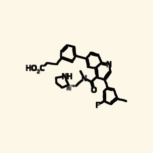 Cc1cc(F)cc(-c2cnc3ccc(-c4cccc(CCC(=O)O)c4)cc3c2C(=O)N(C)C[C@@H]2CCCN2)c1